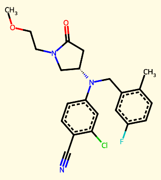 COCCN1C[C@@H](N(Cc2cc(F)ccc2C)c2ccc(C#N)c(Cl)c2)CC1=O